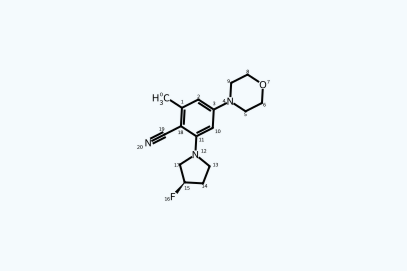 Cc1cc(N2CCOCC2)cc(N2CC[C@@H](F)C2)c1C#N